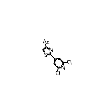 CC(=O)c1csc(-c2cc(Cl)nc(Cl)c2)n1